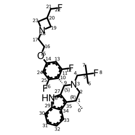 C[C@H]1CN(CC(C)(C)F)[C@@H](c2c(F)cc(OCCN3CC(CF)C3)cc2F)c2[nH]c3ccccc3c21